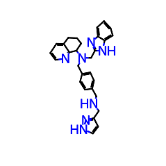 c1cnc2c(c1)CCCC2N(Cc1ccc(CNCc2cc[nH]n2)cc1)Cc1nc2ccccc2[nH]1